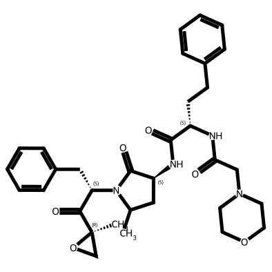 CC1C[C@H](NC(=O)[C@H](CCc2ccccc2)NC(=O)CN2CCOCC2)C(=O)N1[C@@H](Cc1ccccc1)C(=O)[C@@]1(C)CO1